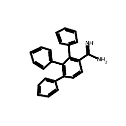 N=C(N)c1ccc(-c2ccccc2)c(-c2ccccc2)c1-c1ccccc1